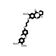 COc1ccc(Oc2ccc(OCCCOc3cc4c(cc3OC)C(=O)N3CCC[C@H]3C=N4)cc2I)cc1OC